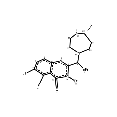 CCCC(c1nc2ccc(F)c(F)c2c(=O)n1CC)N1CCN[C@H](C)CC1